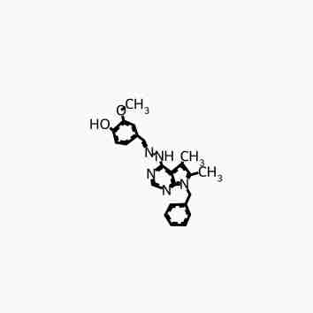 COc1cc(C=NNc2ncnc3c2c(C)c(C)n3Cc2ccccc2)ccc1O